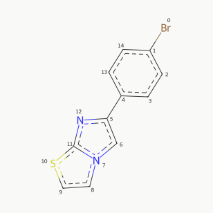 Brc1ccc(-c2cn3ccsc3n2)cc1